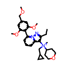 CCc1nn2c(-c3c(OC)cc(COC)cc3OC)cccc2c1[N+](C)(CC1CC1)C1CCOCC1